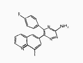 Cc1cc(-c2nnc(N)nc2-c2ccc(F)cc2)cc2cccnc12